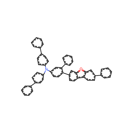 c1ccc(-c2ccc(N(c3ccc(-c4ccccc4)cc3)c3ccc(-c4ccc5c(c4)oc4cc(-c6ccccc6)ccc45)c(-c4ccccc4)c3)cc2)cc1